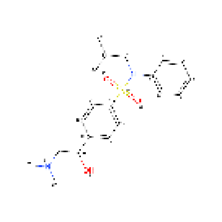 CC(C)CN(c1ccccc1)S(=O)(=O)c1ccc(C(O)CN(C)C)cc1